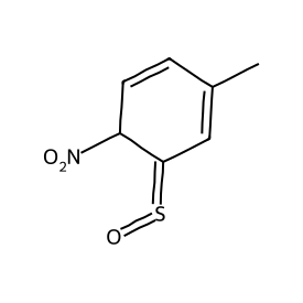 CC1=CC(=S=O)C([N+](=O)[O-])C=C1